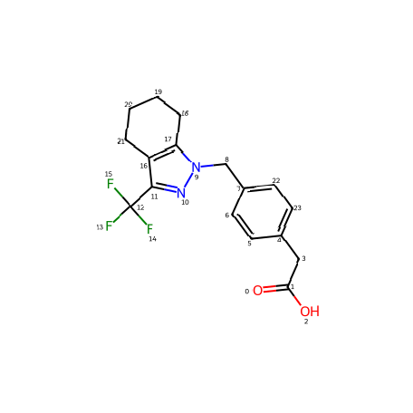 O=C(O)Cc1ccc(Cn2nc(C(F)(F)F)c3c2CCCC3)cc1